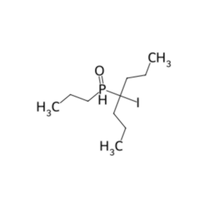 CCC[PH](=O)C(I)(CCC)CCC